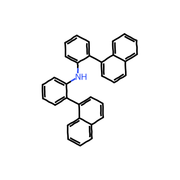 c1ccc(-c2cccc3ccccc23)c(Nc2ccccc2-c2cccc3ccccc23)c1